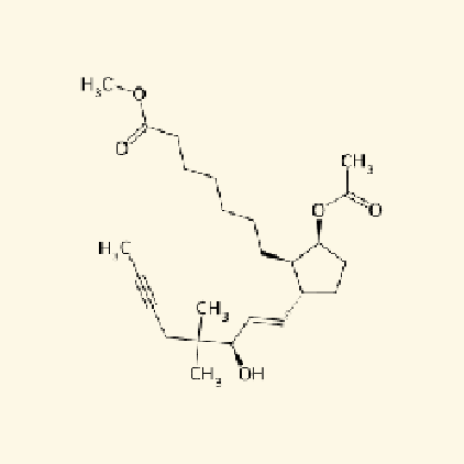 CC#CCC(C)(C)[C@H](O)C=C[C@H]1CC[C@H](OC(C)=O)[C@@H]1CCCCCCC(=O)OC